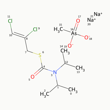 CC(C)N(C(=O)SC/C(Cl)=C/Cl)C(C)C.C[As](=O)([O-])[O-].[Na+].[Na+]